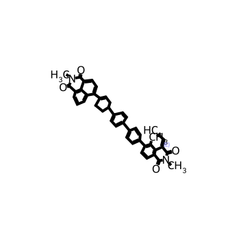 C#C/C=C1/C(=O)N(C)C(=O)c2ccc(-c3ccc(-c4ccc(C5CC=C(c6ccc7c8c(cccc68)C(=O)N(C)C7=O)CC5)cc4)cc3)c(C)c21